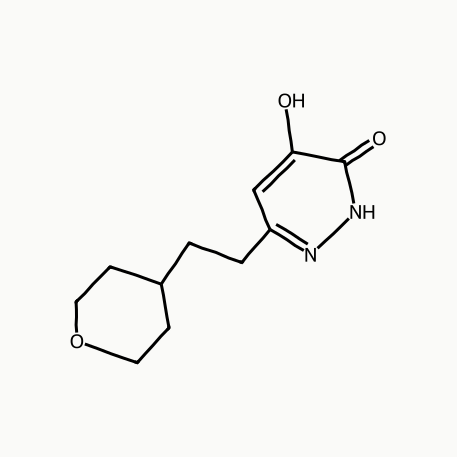 O=c1[nH]nc(CCC2CCOCC2)cc1O